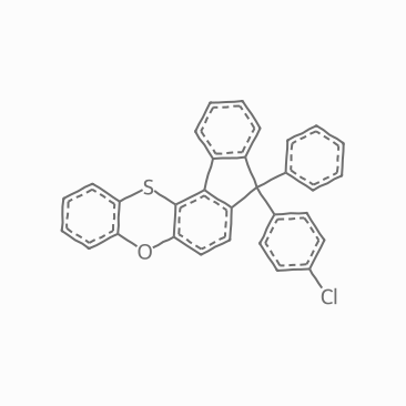 Clc1ccc(C2(c3ccccc3)c3ccccc3-c3c2ccc2c3Sc3ccccc3O2)cc1